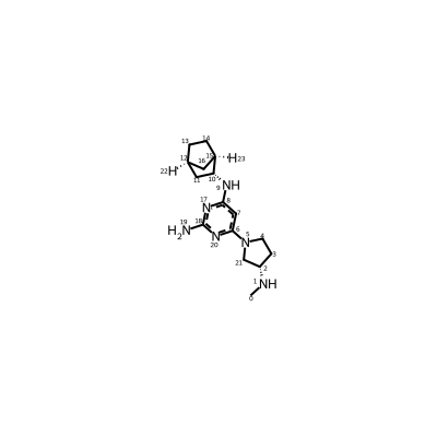 CN[C@H]1CCN(c2cc(N[C@@H]3C[C@H]4CC[C@@H]3C4)nc(N)n2)C1